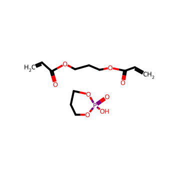 C=CC(=O)OCCCOC(=O)C=C.O=P1(O)OCCCO1